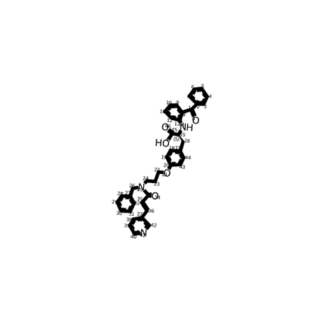 O=C(c1ccccc1)c1ccccc1N[C@@H](Cc1ccc(OCCCN(Cc2ccccc2)C(=O)C=Cc2cccnc2)cc1)C(=O)O